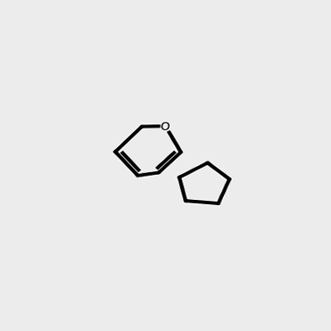 C1=CCOC=C1.C1CCCC1